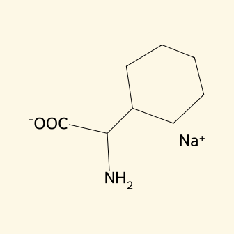 NC(C(=O)[O-])C1CCCCC1.[Na+]